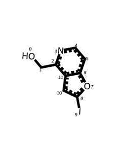 OCc1nccc2oc(I)cc12